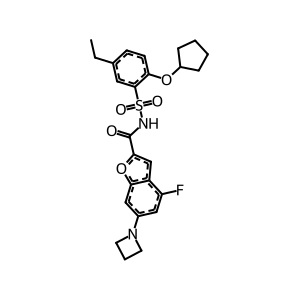 CCc1ccc(OC2CCCC2)c(S(=O)(=O)NC(=O)c2cc3c(F)cc(N4CCC4)cc3o2)c1